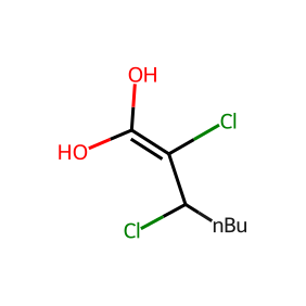 CCCCC(Cl)C(Cl)=C(O)O